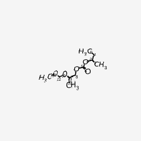 CCC(C)OC(=O)OCC(C)OCOC